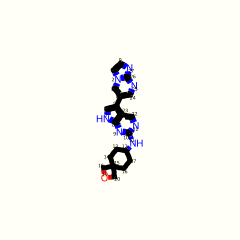 c1cn2cc(-c3c[nH]c4nc(NC5CCC6(CC5)COC6)ncc34)cnc2n1